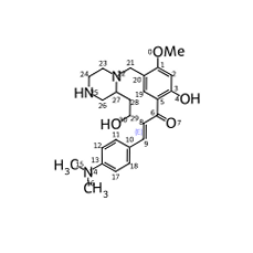 COc1cc(O)c(C(=O)/C=C/c2ccc(N(C)C)cc2)cc1CN1CCNCC1CCO